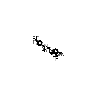 N#Cc1ccc2c(ccn2Cc2noc(-c3ccc(C(F)(F)F)cc3)n2)c1C(F)(F)F